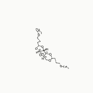 COCCCC1OC[C@H]2O[C@@H]3OC(CCCOC)O[C@@H]3[C@H]2O1